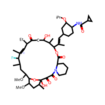 CCC1/C=C(\C)C(F)C(C)CC(OC)C2OC(O)(C(=O)C(=O)N3CCCCC3C(=O)OC(C(C)=CC3CCC(NC(=O)C4CC4)C(OC(C)C)C3)C(C)C(O)CC1=O)C(C)CC2OC